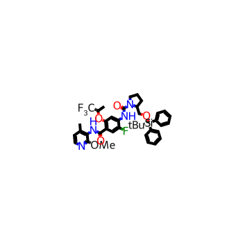 COc1nccc(C)c1NC(=O)c1cc(F)c(NC(=O)N2CCCC2CO[Si](c2ccccc2)(c2ccccc2)C(C)(C)C)cc1OC(C)C(F)(F)F